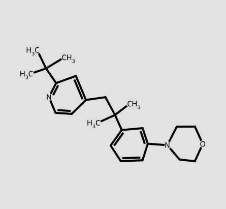 CC(C)(C)c1cc(CC(C)(C)c2cccc(N3CCOCC3)c2)ccn1